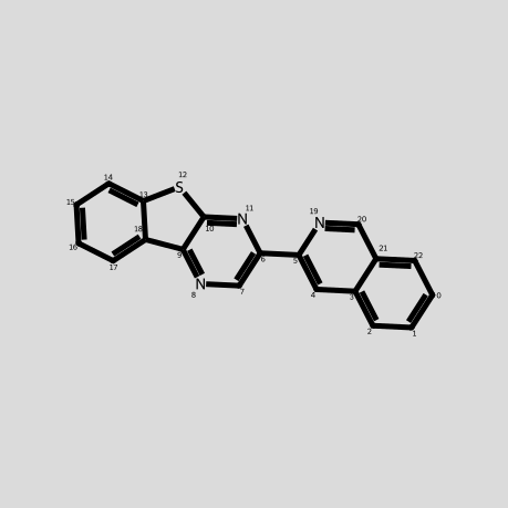 c1ccc2cc(-c3cnc4c(n3)sc3ccccc34)ncc2c1